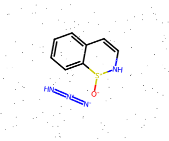 [N-]=[N+]=N.[O-][S+]1NC=Cc2ccccc21